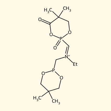 CC[N+](=CP1(=O)OCC(C)(C)C(=O)O1)CP1OCC(C)(C)CO1